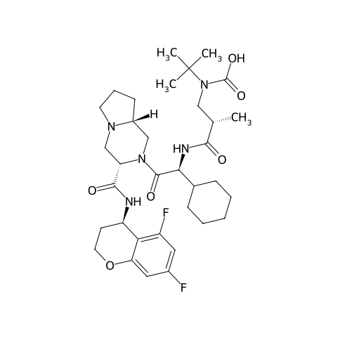 C[C@@H](CN(C(=O)O)C(C)(C)C)C(=O)N[C@H](C(=O)N1C[C@H]2CCCN2C[C@H]1C(=O)N[C@@H]1CCOc2cc(F)cc(F)c21)C1CCCCC1